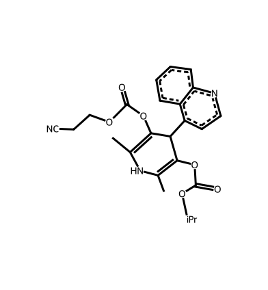 CC1=C(OC(=O)OCCC#N)C(c2ccnc3ccccc23)C(OC(=O)OC(C)C)=C(C)N1